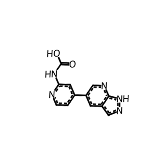 O=C(O)Nc1cc(-c2cnc3[nH]ncc3c2)ccn1